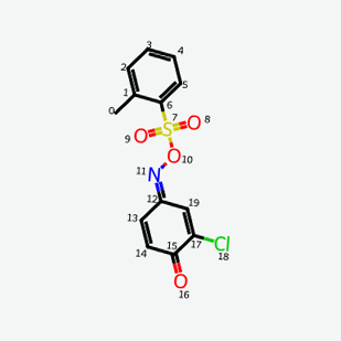 Cc1ccccc1S(=O)(=O)ON=C1C=CC(=O)C(Cl)=C1